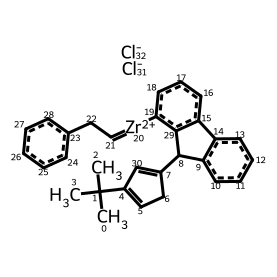 CC(C)(C)C1=CCC(C2c3ccccc3-c3ccc[c](/[Zr+2]=[CH]/Cc4ccccc4)c32)=C1.[Cl-].[Cl-]